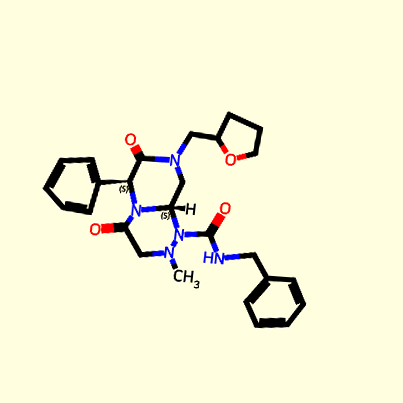 CN1CC(=O)N2[C@@H](c3ccccc3)C(=O)N(CC3CCCO3)C[C@@H]2N1C(=O)NCc1ccccc1